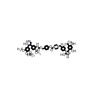 COc1ccc(/C(C=N)=C(/O)c2cc(OC)c(OC)c(OC)c2)cc1NC(=O)OCc1ccc(OC(=O)N2CCN(Cc3ccc(N4C(c5cc(C(C)C)c(O)cc5O)=NNC4O)cc3)CC2)cc1